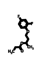 CCC(=O)OC(C)CCOc1ccc(F)cc1F